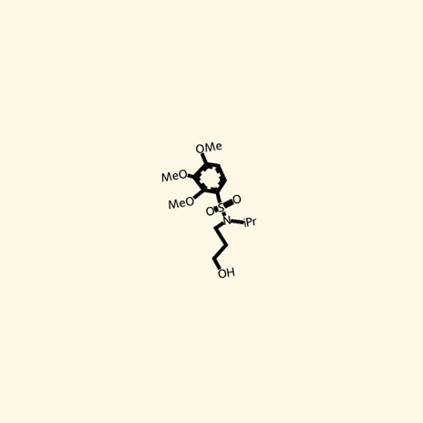 COc1ccc(S(=O)(=O)N(CCCO)C(C)C)c(OC)c1OC